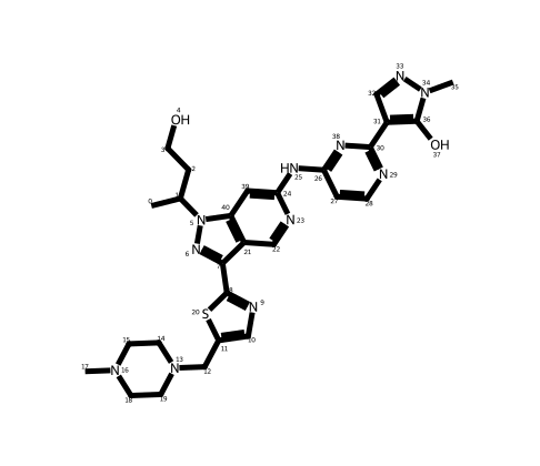 CC(CCO)n1nc(-c2ncc(CN3CCN(C)CC3)s2)c2cnc(Nc3ccnc(-c4cnn(C)c4O)n3)cc21